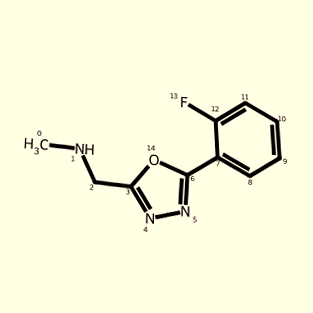 CNCc1nnc(-c2ccccc2F)o1